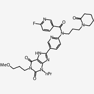 CCCn1c(=O)n(CCCOC)c(=O)c2[nH]c(-c3ccc(N(CCCN4CCCCC4=O)C(=O)c4ccc(F)nc4)nc3)nc21